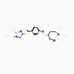 CCCCN1C(C)(C)CC(OC(=O)c2ccc(C(=O)OC3CCC(C)(C)N(OC(C)C)C(C)(C)C3)cc2)C1(C)C